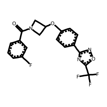 O=C(c1cccc(F)c1)N1CC(Oc2ccc(-c3noc(C(F)(F)F)n3)cc2)C1